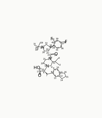 CC(C)C1CN([C@@H](Cc2ccc3c(c2)CCC3)C(=O)O)CCN1C(=O)[C@@H]1CN(C(C)(C)C)C[C@H]1c1ccc(F)cc1F